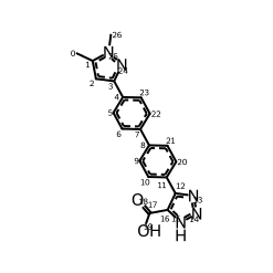 Cc1cc(-c2ccc(-c3ccc(-c4nn[nH]c4C(=O)O)cc3)cc2)nn1C